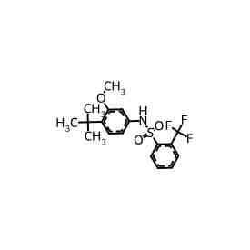 COc1cc(NS(=O)(=O)c2ccccc2C(F)(F)F)ccc1C(C)(C)C